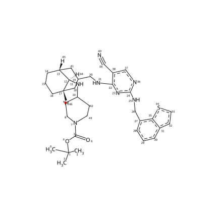 CC(C)(C)OC(=O)N1CCC(N[C@@H]2[C@@H]3CCC[C@H]2CC(CNc2nc(NCc4cccc5ccsc45)ncc2C#N)C3)CC1